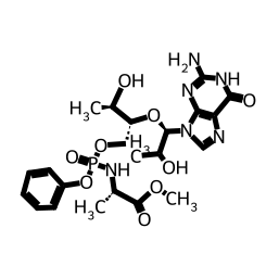 COC(=O)[C@H](C)NP(=O)(OC[C@@H](O[C@H](C(C)O)n1cnc2c(=O)[nH]c(N)nc21)[C@@H](C)O)Oc1ccccc1